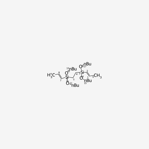 CC=C[Si](CC[Si](C=CC)(OCCCC)OCCCC)(OCCCC)OCCCC